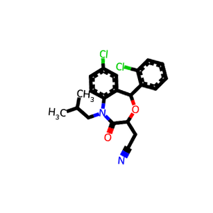 CC(C)CN1C(=O)C(CC#N)OC(c2ccccc2Cl)c2cc(Cl)ccc21